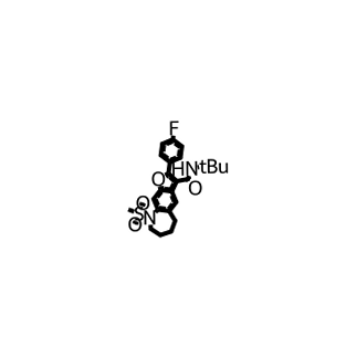 CC(C)(C)NC(=O)c1c(-c2ccc(F)cc2)oc2cc3c(cc12)CCCCN3S(C)(=O)=O